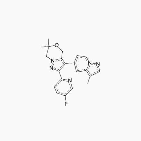 Cc1cnn2ccc(-c3c(-c4ccc(F)cn4)nn4c3COC(C)(C)C4)cc12